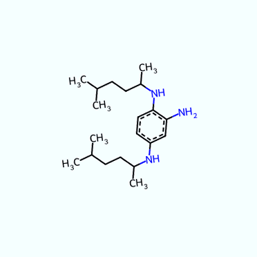 CC(C)CCC(C)Nc1ccc(NC(C)CCC(C)C)c(N)c1